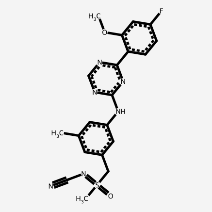 COc1cc(F)ccc1-c1ncnc(Nc2cc(C)cc(CS(C)(=O)=NC#N)c2)n1